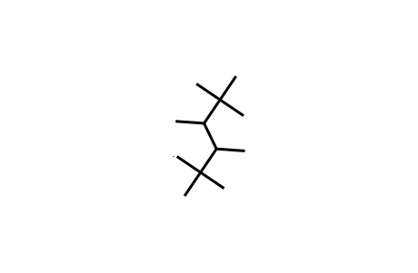 [CH2]C(C)(C)C(C)C(C)C(C)(C)C